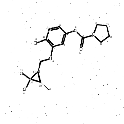 C[C@H]1[C@H](COc2cc(OC(=O)N3CCCC3)ccc2Cl)C1(Cl)Cl